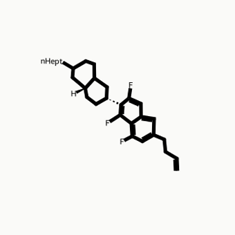 C=CCCc1cc(F)c2c(F)c([C@@H]3CC[C@@H]4CC(CCCCCCC)CCC4C3)c(F)cc2c1